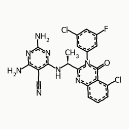 C[C@H](Nc1nc(N)nc(N)c1C#N)c1nc2cccc(Cl)c2c(=O)n1-c1cc(F)cc(Cl)c1